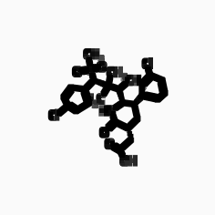 CC([C@@H]1NC(=O)[C@@H](CC(=O)O)C[C@@H]1c1cccc(Cl)c1)C(C)(C)[C@@H](c1ccc(Cl)cc1)S(C)(=O)=O